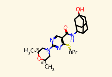 CCCSc1nc(N2C[C@@H](C)O[C@@H](C)C2)ncc1C(=O)NC1C2CC3CC1CC(O)(C3)C2